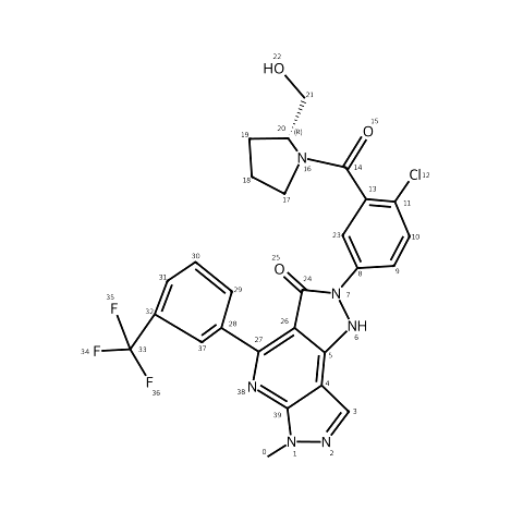 Cn1ncc2c3[nH]n(-c4ccc(Cl)c(C(=O)N5CCC[C@@H]5CO)c4)c(=O)c3c(-c3cccc(C(F)(F)F)c3)nc21